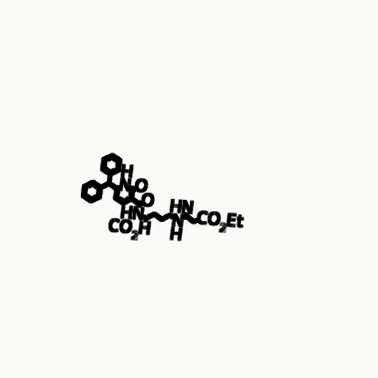 CCOC(=O)CC(=N)NCCC[C@H](NC(=O)c1ccc(C(c2ccccc2)c2ccccc2)[nH]c1=O)C(=O)O